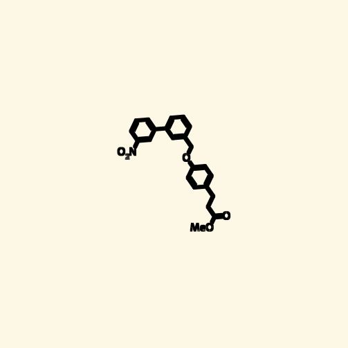 COC(=O)CCc1ccc(OCc2cccc(-c3cccc([N+](=O)[O-])c3)c2)cc1